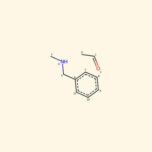 CC=O.CNCc1ccccc1